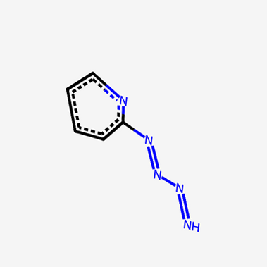 N=NN=Nc1ccccn1